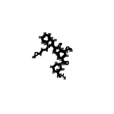 COCCCn1c(-c2nc3cc(C(=O)N4CCCC(N)C4)cc(OC)c3n2C)cc2ccccc21